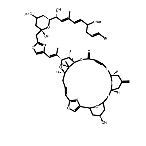 C=C1C[C@@H]2CC3C[C@@H](O)CC(O3)c3coc(n3)/C=C/C[C@H]3O[C@H](/C(C)=C/c4coc(C[C@]5(O)CC(OC)C[C@H]([C@H](O)/C=C(C)/C=C/C(C/C=C/Br)OC)O5)n4)[C@H](C)[C@@H](OC(=O)/C=C\C[C@@H](C1)O2)[C@H]3C